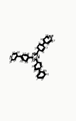 c1ccc(-c2ccc(-c3nc(-c4ccc(-c5ccncc5)cc4)nc(-c4ccc(-c5ccncc5)cc4)n3)cc2)cc1